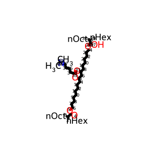 CCCCCCCCC(CCCCCC)C(=O)OCCCCCCCCCC(CCCCCCCCCOC(O)C(CCCCCC)CCCCCCCC)OC(=O)CCCCN(C)C